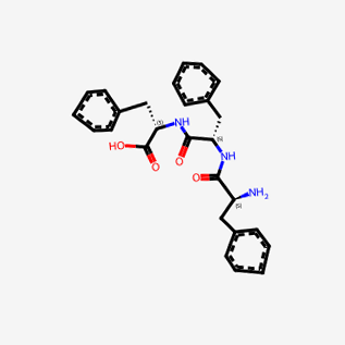 N[C@@H](Cc1ccccc1)C(=O)N[C@@H](Cc1ccccc1)C(=O)N[C@@H](Cc1ccccc1)C(=O)O